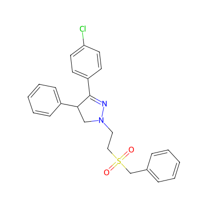 O=S(=O)(CCN1CC(c2ccccc2)C(c2ccc(Cl)cc2)=N1)Cc1ccccc1